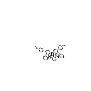 C=Cc1ccc(-c2ccc3c4c2c2ccccc2n4-c2cccc4c2B3c2ccc(-c3ccc(C=C)cc3)c3c5ccccc5n-4c23)cc1